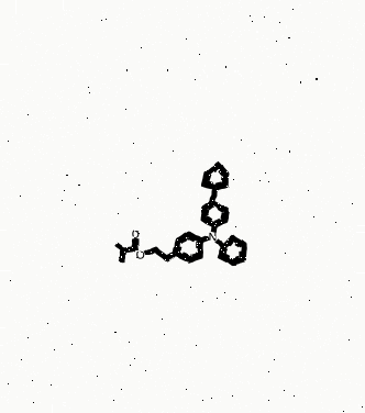 C=C(C)C(=O)OCCc1ccc(N(c2ccccc2)c2ccc(-c3ccccc3)cc2)cc1